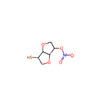 O=[N+]([O-])OC1COC2C(S)COC12